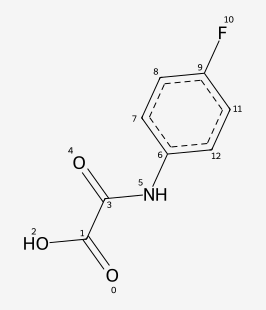 O=C(O)C(=O)Nc1ccc(F)cc1